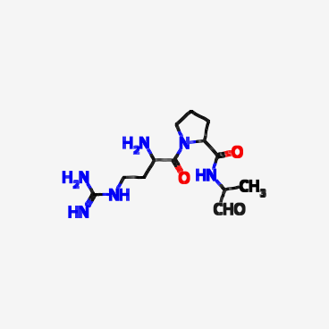 CC(C=O)NC(=O)C1CCCN1C(=O)C(N)CCNC(=N)N